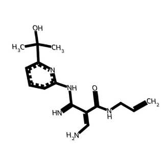 C=CCNC(=O)/C(=C/N)C(=N)Nc1cccc(C(C)(C)O)n1